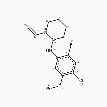 CC(C)Oc1cc(NN2CCCCN2C=S)c(F)cc1Cl